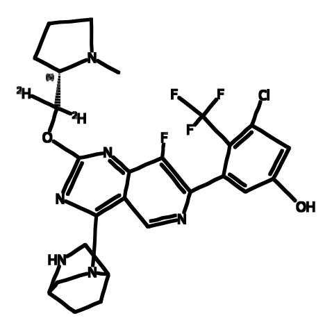 [2H]C([2H])(Oc1nc(N2CC3CCC2CN3)c2cnc(-c3cc(O)cc(Cl)c3C(F)(F)F)c(F)c2n1)[C@@H]1CCCN1C